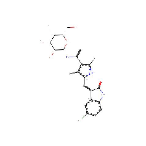 C=C(N[C@H]1O[C@@H](CO)[C@@H](O)[C@@H](O)[C@@H]1O)c1c(C)[nH]c(/C=C2\C(=O)Nc3ccc(F)cc32)c1C